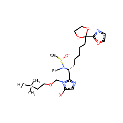 CCN([C@H](CCCCCC1(c2ncco2)OCCO1)c1ncc(Br)n1COCC[Si](C)(C)C)[S+]([O-])C(C)(C)C